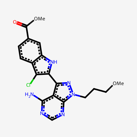 COCCCn1nc(-c2[nH]c3cc(C(=O)OC)ccc3c2Cl)c2c(N)ncnc21